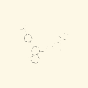 CC(C)S(=O)(=O)N1CCO[C@H](COc2nc(-c3ccc(N(C)C)cc3)cc3nccnc23)C1